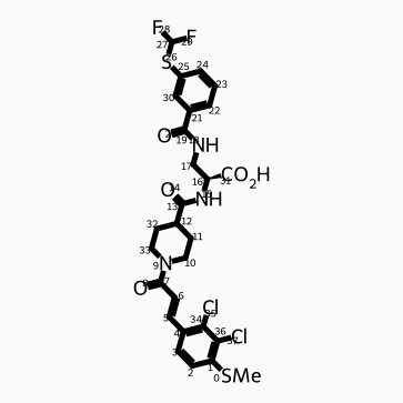 CSc1ccc(C=CC(=O)N2CCC(C(=O)N[C@@H](CNC(=O)c3cccc(SC(F)F)c3)C(=O)O)CC2)c(Cl)c1Cl